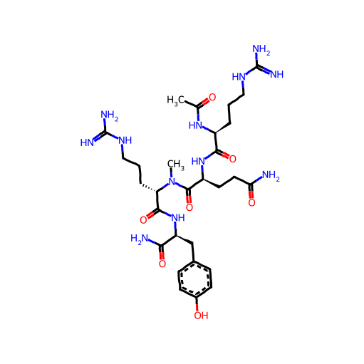 CC(=O)N[C@@H](CCCNC(=N)N)C(=O)N[C@@H](CCC(N)=O)C(=O)N(C)[C@@H](CCCNC(=N)N)C(=O)N[C@@H](Cc1ccc(O)cc1)C(N)=O